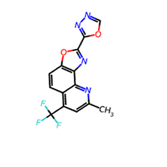 Cc1cc(C(F)(F)F)c2ccc3oc(-c4nnco4)nc3c2n1